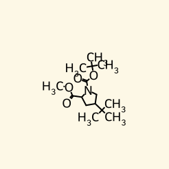 COC(=O)C1CC(C(C)(C)C)CN1C(=O)OC(C)(C)C